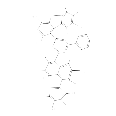 Bc1c(B)c(B)c(-c2c(B)c(B)c(B)c3c(-c4nc(-c5ccccc5)nc(-c5c(B)c(B)c(B)c6oc7c(B)c(B)c(B)c(B)c7c56)n4)c(B)c(B)c(B)c23)c(B)c1B